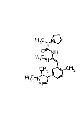 C=N/C(=C\c1cc(C2C=NN(C)C2C)ccc1C)NC(=O)[C@@H](C)N1CCCC1